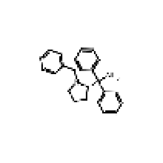 NC(c1ccccc1)(c1ccccc1)[C@@H]1CCCN1Cc1ccccc1